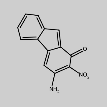 NC1=C([N+](=O)[O-])C(=O)C2=Cc3ccccc3C2=C1